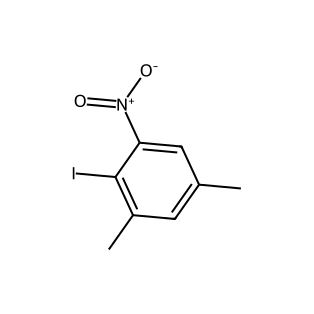 Cc1cc(C)c(I)c([N+](=O)[O-])c1